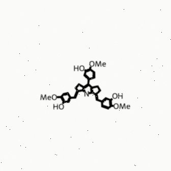 COc1ccc(C=C2CCc3c2nc2c(c3-c3ccc(OC)c(O)c3)CCC2=Cc2ccc(OC)c(O)c2)cc1O